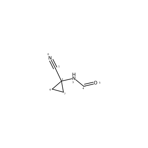 N#CC1(N[C]=O)CC1